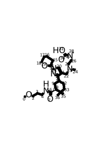 COCCCNC(=O)[C@H]1CC(c2nn(C3CCCCO3)cc2CN(C)CCN(C)C(=O)O)CCC1(C)C